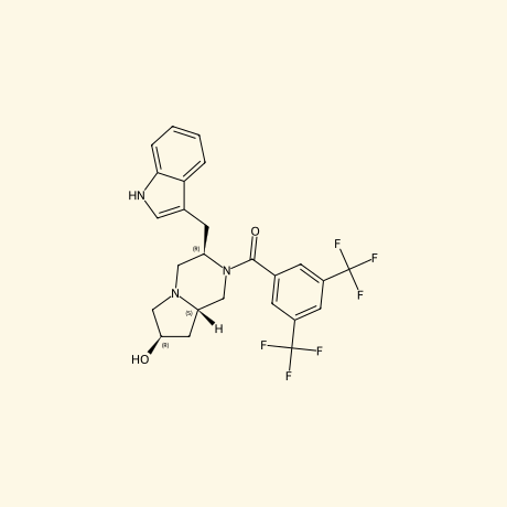 O=C(c1cc(C(F)(F)F)cc(C(F)(F)F)c1)N1C[C@@H]2C[C@@H](O)CN2C[C@H]1Cc1c[nH]c2ccccc12